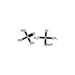 CCCCC[N+](C)(C)CC.O=P(O)(O)O